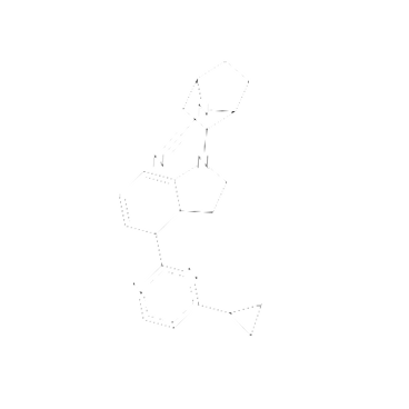 N#CN1C2CCC1C(N1CCC3C1=CC=CC3c1nccc(C3CC3)n1)C2